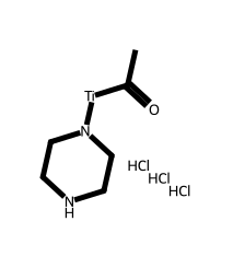 C[C](=O)[Ti][N]1CCNCC1.Cl.Cl.Cl